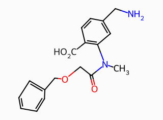 CN(C(=O)COCc1ccccc1)c1cc(CN)ccc1C(=O)O